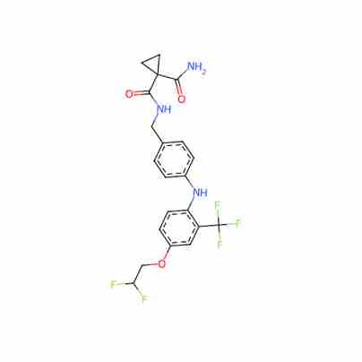 NC(=O)C1(C(=O)NCc2ccc(Nc3ccc(OCC(F)F)cc3C(F)(F)F)cc2)CC1